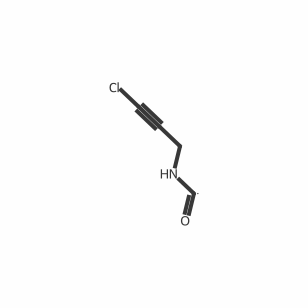 O=[C]NCC#CCl